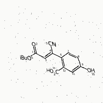 CC(C)COC(=O)C=C(C#N)c1ccc(O)cc1C(=O)O